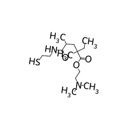 CCC(C)(CC(C)C(=O)NCCS)C(=O)OCCN(C)C